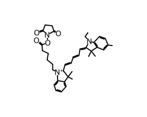 CCN1/C(=C/C=C/C=C/C2=[N+](CCCCCC(=O)ON3C(=O)CCC3=O)c3ccccc3C2(C)C)C(C)(C)c2cc(C)ccc21